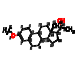 COc1ccc2c(c1)CCC1C2CC[C@@]2(C)C1CC[C@@H]2[C@H](C)O